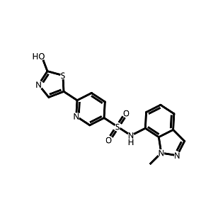 Cn1ncc2cccc(NS(=O)(=O)c3ccc(-c4cnc(O)s4)nc3)c21